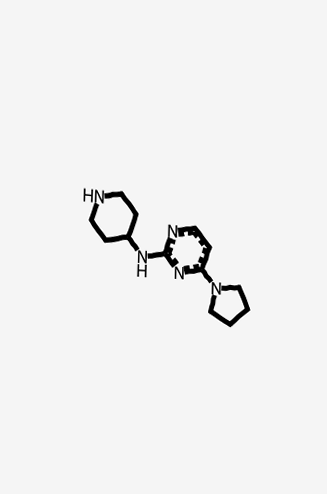 c1cc(N2CCCC2)nc(NC2CCNCC2)n1